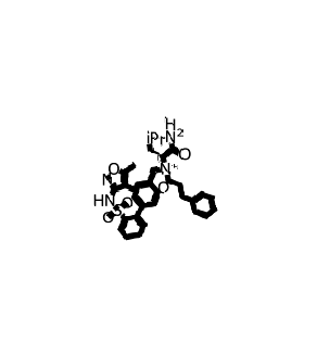 Cc1onc(NS(=O)(=O)c2ccccc2-c2ccc(C[N+](C)(C(=O)CCc3ccccc3)[C@@H](CC(C)C)C(N)=O)cc2)c1C